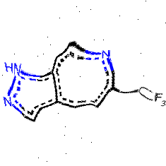 FC(F)(F)c1cc2cn[nH]c2cn1